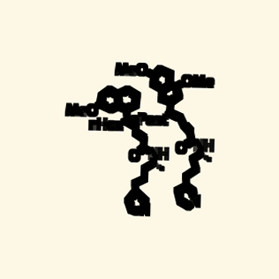 CCCCC/C(=C\C=C\C(=O)N[C@H](C)CCCc1cccnc1)c1cc(OC)c2ccc(OC)cc2c1.CCCCCC/C(=C\C=C\C(=O)N[C@H](C)CCCc1cccnc1)c1cccc2ccc(OC)cc12